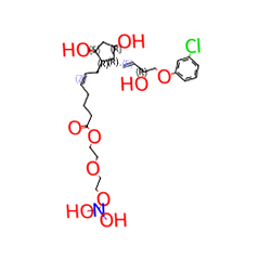 O=C(CCC/C=C\C[C@@H]1[C@@H](/C=C/[C@@H](O)COc2cccc(Cl)c2)[C@H](O)C[C@@H]1O)OCCOCCON(O)O